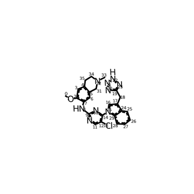 COc1cc2c(cc1Nc1ncc(Cl)c(-n3cc(Cc4nn[nH]n4)c4ccccc43)n1)CN(C)CC2